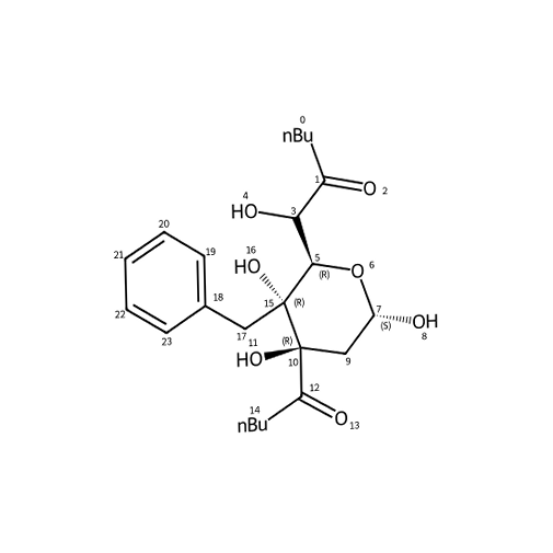 CCCCC(=O)C(O)[C@H]1O[C@H](O)C[C@](O)(C(=O)CCCC)[C@@]1(O)Cc1ccccc1